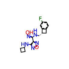 O/N=C(\NC[C@H]1Cc2ccc(F)cc21)c1nonc1NC1CCC1